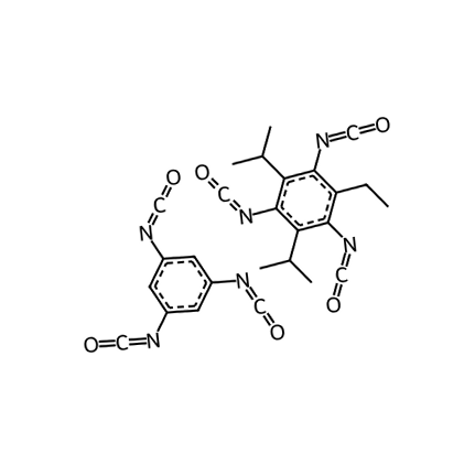 CCc1c(N=C=O)c(C(C)C)c(N=C=O)c(C(C)C)c1N=C=O.O=C=Nc1cc(N=C=O)cc(N=C=O)c1